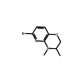 CC1COc2ccc(Br)nc2N1C